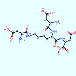 COC(=O)CC(NC(=O)C(CCCCNC(=O)C(N)CC(=O)O)NC(=O)C(N)CC(=O)O)C(=O)OC